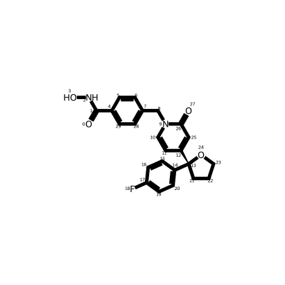 O=C(NO)c1ccc(Cn2ccc([C@]3(c4ccc(F)cc4)CCCO3)cc2=O)cc1